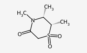 C[C@@H]1[C@H](C)S(=O)(=O)CC(=O)N1C